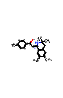 CNc1cc2c(cc1OC)CC(C)(C)N/C2=C\C(=O)c1ccc(C#N)cc1